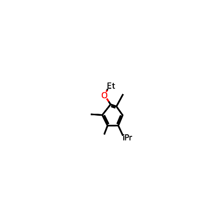 CCOc1c(C)cc(C(C)C)c(C)c1C